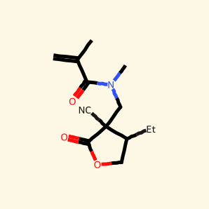 C=C(C)C(=O)N(C)CC1(C#N)C(=O)OCC1CC